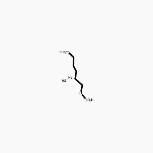 CCCCCCCCCCCCOS(=O)(=O)O.[Na+].[SH-]